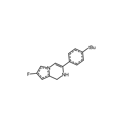 CC(C)(C)c1ccc(C2=Cn3cc(F)cc3CN2)cc1